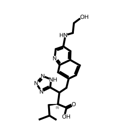 CC(C)C[C@H](C(=O)O)C(Cc1ccc2cc(NCCO)cnc2c1)c1nnn[nH]1